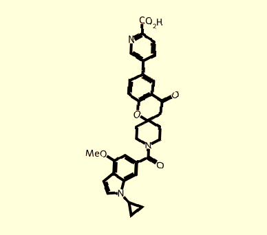 COc1cc(C(=O)N2CCC3(CC2)CC(=O)c2cc(-c4ccc(C(=O)O)nc4)ccc2O3)cc2c1ccn2C1CC1